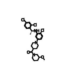 COC1CCCN(C(=O)C2CCN(c3ccc(Cl)c(N[C@H](C)c4ccc(Cl)cc4Cl)c3)CC2)C1